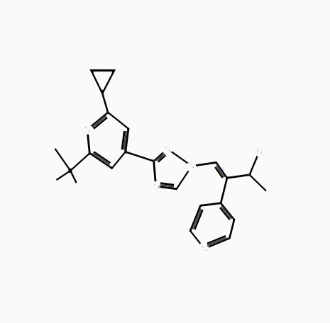 NC(O)/C(=C/n1cnc(-c2cc(C3CC3)nc(C(F)(F)F)c2)n1)c1ccncc1